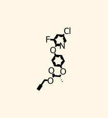 C#CCOC(=O)[C@@H](C)Oc1ccc(Oc2ncc(Cl)cc2F)cc1